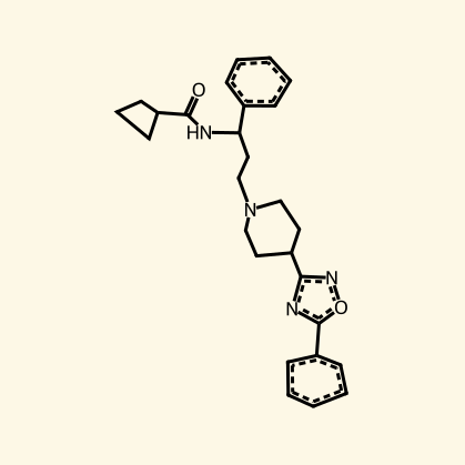 O=C(NC(CCN1CCC(c2noc(-c3ccccc3)n2)CC1)c1ccccc1)C1CCC1